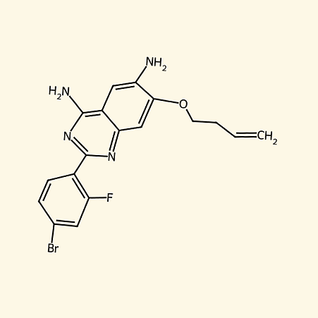 C=CCCOc1cc2nc(-c3ccc(Br)cc3F)nc(N)c2cc1N